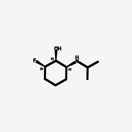 CC(C)N[C@H]1CCC[C@@H](F)[C@H]1O